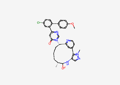 COc1ccc(-c2ccc(Cl)cc2-c2cc(=O)n([C@H]3CCC[C@@H](C)C(O)Nc4cnn(C)c4-c4ccnc3c4)cn2)cc1